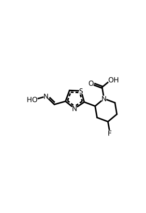 O=C(O)N1CCC(F)CC1c1nc(C=NO)cs1